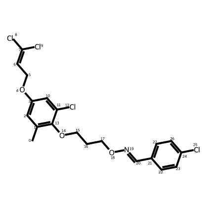 Cc1cc(OCC=C(Cl)Cl)cc(Cl)c1OCCCON=Cc1ccc(Cl)cc1